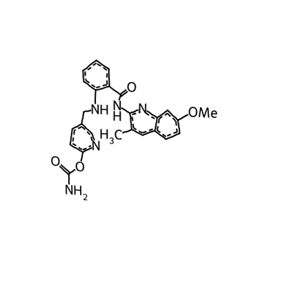 COc1ccc2cc(C)c(NC(=O)c3ccccc3NCc3ccc(OC(N)=O)nc3)nc2c1